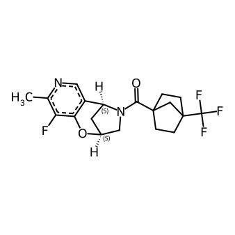 Cc1ncc2c(c1F)O[C@H]1C[C@@H]2N(C(=O)C23CCC(C(F)(F)F)(CC2)C3)C1